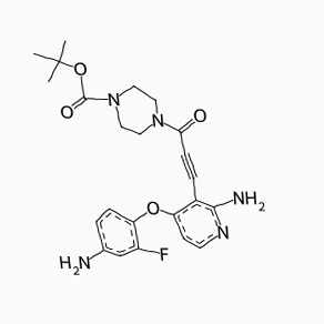 CC(C)(C)OC(=O)N1CCN(C(=O)C#Cc2c(Oc3ccc(N)cc3F)ccnc2N)CC1